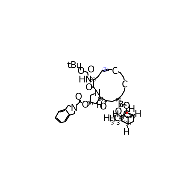 CC(C)(C)OC(=O)N[C@H]1C/C=C\CCCCCC[C@@H](B2O[C@@H]3[C@@H]4C[C@H](C[C@]3(C)O2)C4(C)C)CC(=O)[C@@H]2C[C@@H](OC(=O)N3Cc4ccccc4C3)CN2C1=O